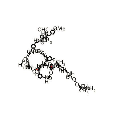 COc1ccc(C[C@H](NCC=O)C(=O)N2CCC[C@@]2(C)C(=O)NCCc2ccc(CN3CCCCCCn4cc(c5cc(F)ccc54)C[C@@H]4NC(=O)[C@H](Cc5cccc(c5)CNC(=O)COC5CCN(C4=O)[C@@H]5C(=O)NC[C@@H](C)OCc4cn(CCNC(=O)CCOCCOCC[N+](C)(C)CCN)nn4)NC(=O)CNC(=O)[C@H](C)NC(=O)CCC3=O)cc2)cc1